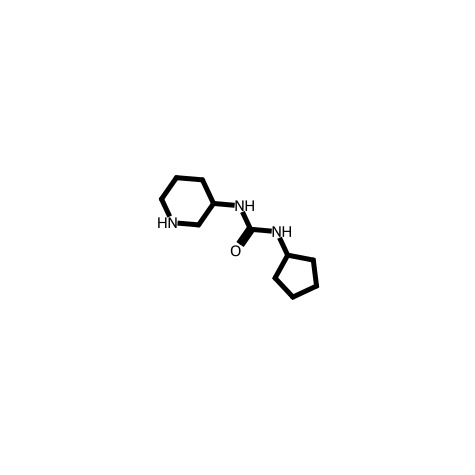 O=C(NC1CCCC1)NC1CCCNC1